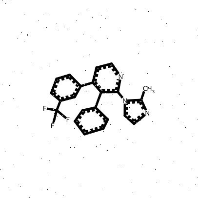 Cc1nccn1-c1nccc(-c2cccc(C(F)(F)F)c2)c1-c1ccccc1